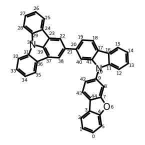 c1ccc2c(c1)oc1cc(-n3c4ccccc4c4ccc(-c5cc6c7ccccc7n7c8ccccc8c(c5)c67)cc43)ccc12